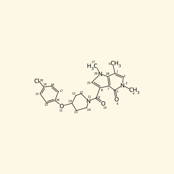 Cc1cn(C)c(=O)c2c(C(=O)N3CCC(Oc4ccc(Cl)cc4)CC3)cn(C)c12